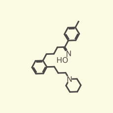 Cc1ccc(C(CCCc2ccccc2CCCN2CCCCC2)=NO)cc1